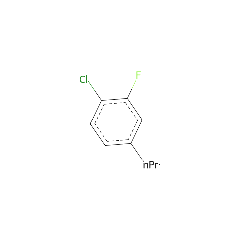 CC[CH]c1ccc(Cl)c(F)c1